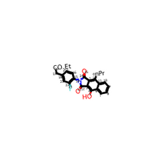 CCCc1c2c(c(O)c3ccccc13)C(=O)N(c1ccc(CC(=O)OCC)cc1F)C2=O